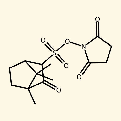 CC12CCC(C(S(=O)(=O)ON3C(=O)CCC3=O)C1=O)C2(C)C